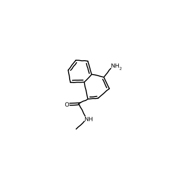 CNC(=O)c1ccc(N)c2ccccc12